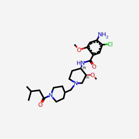 COc1cc(N)c(Cl)cc1C(=O)N[C@@H]1CCN(CC2CCN(C(=O)CC(C)C)CC2)C[C@@H]1OC